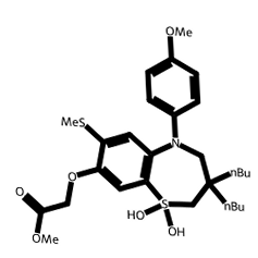 CCCCC1(CCCC)CN(c2ccc(OC)cc2)c2cc(SC)c(OCC(=O)OC)cc2S(O)(O)C1